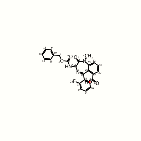 CN1C(=O)C(NC(=O)OCc2ccccc2)N=C(c2ccccc2F)c2c(C(=O)O)cccc21